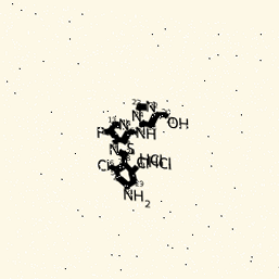 Cl.Cl.Nc1cc(Cl)c(-c2nc3c(F)cnc(Nc4cc(CO)ncn4)c3s2)c(Cl)c1